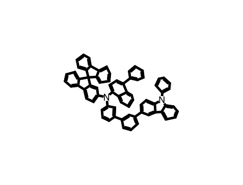 c1ccc(-c2ccc(N(c3cccc(-c4cccc(-c5ccc6c(c5)c5ccccc5n6-c5ccccc5)c4)c3)c3ccc4c(c3)C3(c5ccccc5-c5ccccc53)c3ccccc3-4)c3ccccc23)cc1